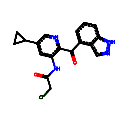 O=C(CCl)Nc1cc(C2CC2)cnc1C(=O)c1cccc2[nH]ncc12